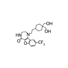 O=C1NCCN(CCC2CCC(CO)(CO)CC2)c2c1oc1ccc(C(F)(F)F)cc21